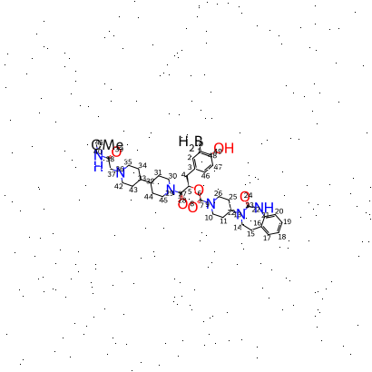 Bc1cc(C[C@@H](OC(=O)N2CCC(N3CCc4ccccc4NC3=O)CC2)C(=O)N2CCC(C3CCN(CC(=O)NOC)CC3)CC2)ccc1O